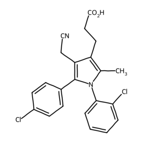 Cc1c(CCC(=O)O)c(CC#N)c(-c2ccc(Cl)cc2)n1-c1ccccc1Cl